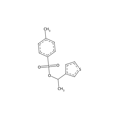 Cc1ccc(S(=O)(=O)OC(C)c2ccsc2)cc1